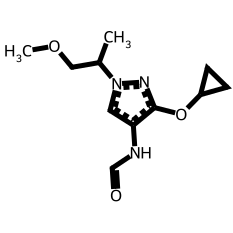 COCC(C)n1cc(NC=O)c(OC2CC2)n1